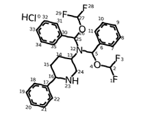 Cl.FC(F)OC(c1ccccc1)N(C1CCC(c2ccccc2)NC1)C(OC(F)F)c1ccccc1